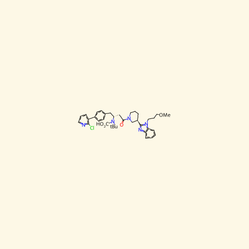 COCCCn1c([C@@H]2CCCN(C(=O)C[C@@H](Cc3ccc(-c4cccnc4Cl)cc3)N(C(=O)O)C(C)(C)C)C2)nc2ccccc21